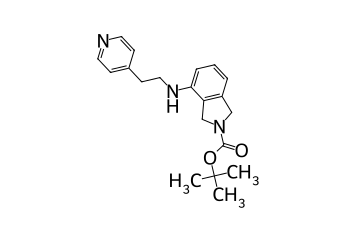 CC(C)(C)OC(=O)N1Cc2cccc(NCCc3ccncc3)c2C1